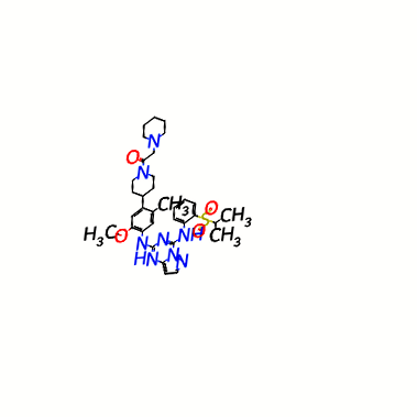 COc1cc(C2CCN(C(=O)CN3CCCCC3)CC2)c(C)cc1Nc1nc(Nc2ccccc2S(=O)(=O)C(C)C)n2nccc2n1